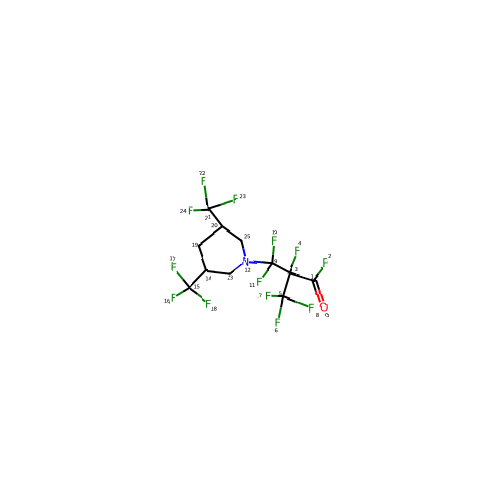 O=C(F)C(F)(C(F)(F)F)C(F)(F)N1CC(C(F)(F)F)CC(C(F)(F)F)C1